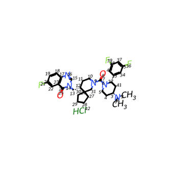 CN(C)[C@@H]1CCN(C(=O)N2CC[C@@H](Cn3cnc4ccc(F)cc4c3=O)C3(CCCC3)C2)[C@H](c2cc(F)cc(F)c2)C1.Cl